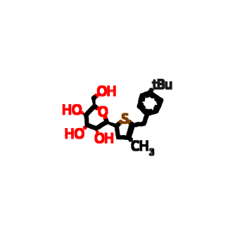 CC1=C(Cc2ccc(C(C)(C)C)cc2)SC([C@@H]2O[C@H](CO)[C@@H](O)[C@H](O)[C@H]2O)C1